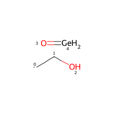 [CH2]CO.[O]=[GeH2]